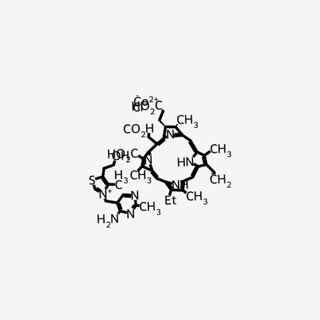 C=Cc1c(C)c2cc3nc(c(CC(=O)O)c4nc(cc5[nH]c(cc1[nH]2)c(C)c5CC)C(C)=C4C(=O)O)[C@@H](CCC(=O)O)[C@@H]3C.Cc1ncc(C[n+]2csc(CCO)c2C)c(N)n1.[Cl-].[Co+2]